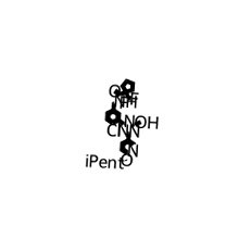 CCC[C@@H](C)Oc1ccc(-c2nc(O)nc(-c3cc(CNC(=O)C4(C(F)F)CCCC4)ccc3Cl)n2)cn1